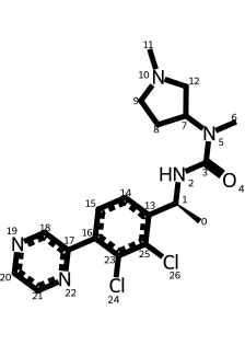 C[C@H](NC(=O)N(C)C1CCN(C)C1)c1ccc(-c2cnccn2)c(Cl)c1Cl